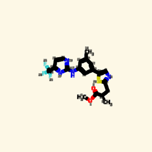 COC(=O)[C@H](C)Cc1ncc(-c2cc(C)cc(Nc3nccc(C(F)(F)F)n3)c2)s1